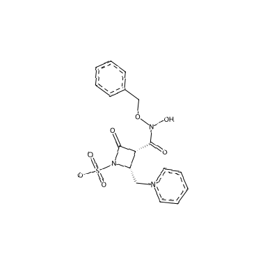 O=C([C@H]1C(=O)N(S(=O)(=O)[O-])[C@H]1C[n+]1ccccc1)N(O)OCc1ccccc1